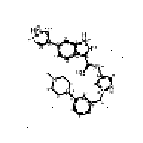 CN1CCN(c2cccc(Cn3cc(NC(=O)c4n[nH]c5cc(-c6cn[nH]c6)ccc45)cn3)c2)CC1